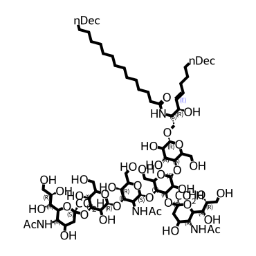 CCCCCCCCCCCCC/C=C/[C@@H](O)[C@H](CO[C@@H]1OC(CO)[C@@H](O[C@@H]2OC(CO)[C@H](O[C@@H]3OC(CO)[C@H](O)[C@H](O[C@@H]4OC(CO)[C@H](O)[C@H](O[C@]5(C(=O)O)CC(O)[C@@H](NC(C)=O)C([C@H](O)[C@H](O)CO)O5)C4O)C3NC(C)=O)[C@H](O[C@]3(C(=O)O)CC(O)[C@@H](NC(C)=O)C([C@H](O)[C@H](O)CO)O3)C2O)[C@H](O)C1O)NC(=O)CCCCCCCCCCCCCCCCCCCCCCC